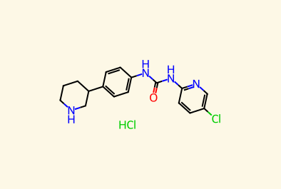 Cl.O=C(Nc1ccc(C2CCCNC2)cc1)Nc1ccc(Cl)cn1